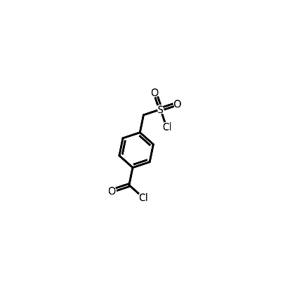 O=C(Cl)c1ccc(CS(=O)(=O)Cl)cc1